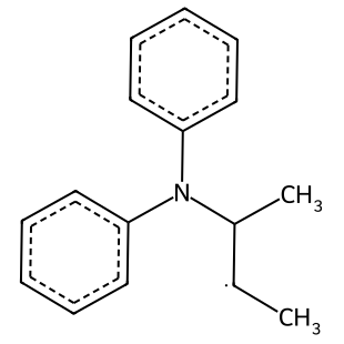 C[CH]C(C)N(c1ccccc1)c1ccccc1